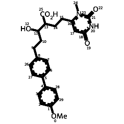 COc1ccc(-c2ccc(CCC(O)C(CCc3cc(=O)[nH]c(=O)n3C)C(=O)O)cc2)cc1